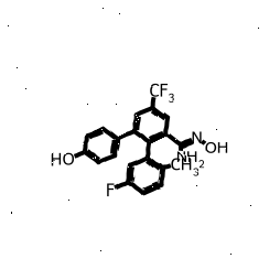 Cc1ccc(F)cc1-c1c(/C(N)=N/O)cc(C(F)(F)F)cc1-c1ccc(O)cc1